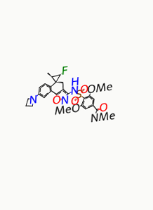 CNC(=O)c1cc(OC)c(S(=O)(=O)Nc2noc3c2C[C@@]2(c4ccc(N5CCC5)cc4-3)[C@@H](C)[C@@H]2F)c(OC)c1